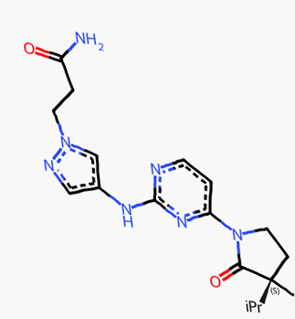 CC(C)[C@]1(C#N)CCN(c2ccnc(Nc3cnn(CCC(N)=O)c3)n2)C1=O